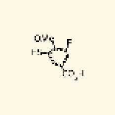 COc1c(F)cc(C(=O)O)cc1S